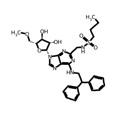 CCCCS(=O)(=O)NCc1nc(NCC(c2ccccc2)c2ccccc2)c2ncn([C@@H]3O[C@H](COC)[C@@H](O)[C@@H]3O)c2n1